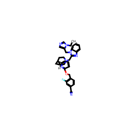 CCn1cncc1Cn1c(CN2CC[C@@]3(c4cccc(OCc5ccc(C#N)cc5F)n4)C[C@H]3C2)nc2ccccc21